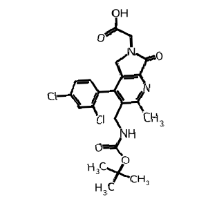 Cc1nc2c(c(-c3ccc(Cl)cc3Cl)c1CNC(=O)OC(C)(C)C)CN(CC(=O)O)C2=O